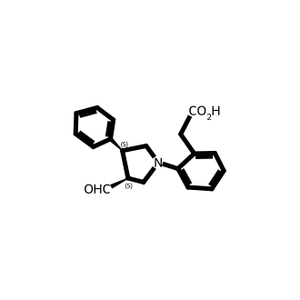 O=C[C@@H]1CN(c2ccccc2CC(=O)O)C[C@@H]1c1ccccc1